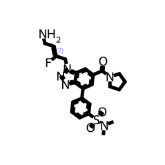 CN(C)S(=O)(=O)c1cccc(-c2cc(C(=O)N3CCCC3)cc3c2nnn3C/C(F)=C/CN)c1